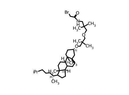 CC(C)CCC[C@@H](C)C1CC[C@H]2C3CC=C4C[C@@H](OCC(C)(C)COCC(C)(C)CNC(=O)CBr)CCC4(C)[C@H]3CCC12C